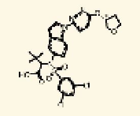 CC(C)(C)C(C(=O)O)N(c1ccc2c(ccn2-c2ccc(O[C@@H]3CCOC3)nn2)c1)S(=O)(=O)c1cc(Cl)cc(Cl)c1